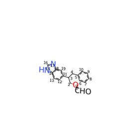 O=COCC(Cc1ccccc1)c1ccc2[nH]cnc2c1